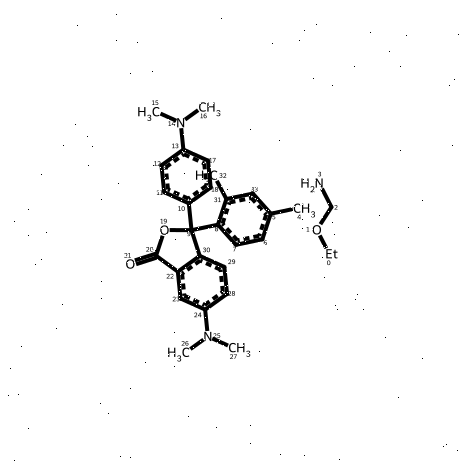 CCOCN.Cc1ccc(C2(c3ccc(N(C)C)cc3)OC(=O)c3cc(N(C)C)ccc32)c(C)c1